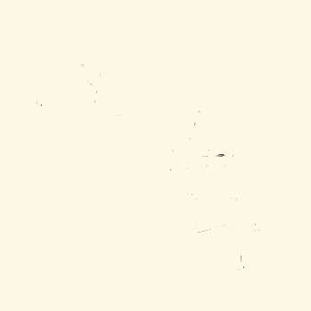 Cc1nc(N)c2ccn([C@@H]3C=C(CCc4cc(F)c5cc(Cl)c(N)nc5c4)[C@@H](O)[C@H]3O)c2n1